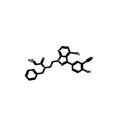 C=CC(=O)N(CCn1nc(-c2ccc(O)c(C#N)c2)c2c(N)ncnc21)Cc1ccccc1